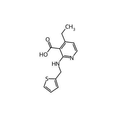 CCc1ccnc(NCc2cccs2)c1C(=O)O